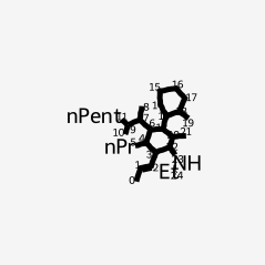 CC=CC1C(CCC)C(C(C)C(C)CCCCC)C(C2CCCCC2C)C(C)C1NCC